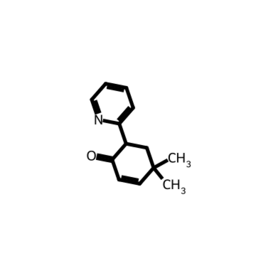 CC1(C)C=CC(=O)C(c2ccccn2)C1